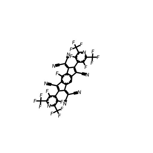 N#CC(C#N)=C1C(c2c(F)c(C(F)(F)F)nc(C(F)(F)F)c2F)=C(C#N)c2c1cc1c(c2F)C(=C(C#N)C#N)C(c2c(F)c(C(F)(F)F)nc(C(F)(F)F)c2F)=C1C#N